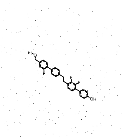 CCOCc1ccc(-c2ccc(CCc3ccc(-c4ccc(O)cc4)c(F)c3F)cc2)c(F)c1